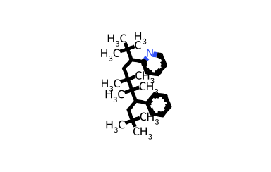 CC(C)(C)CC(c1ccccc1)C(C)(C)C(C)(C)CC(c1ccccn1)C(C)(C)C